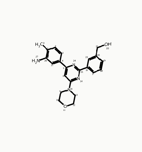 Cc1ccc(-c2cc(N3CCOCC3)nc(-c3cccc(CO)c3)n2)cc1N